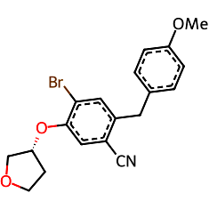 COc1ccc(Cc2cc(Br)c(O[C@@H]3CCOC3)cc2C#N)cc1